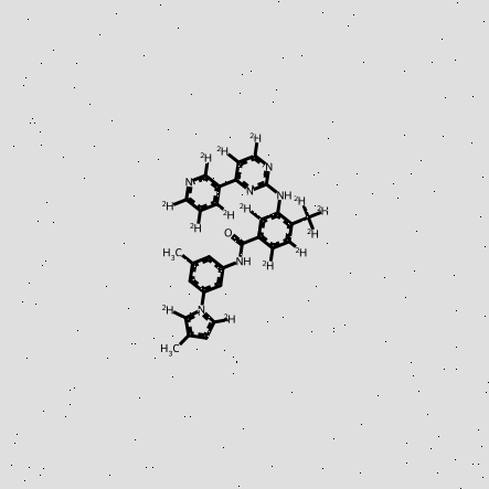 [2H]c1nc(Nc2c([2H])c(C(=O)Nc3cc(C)cc(-n4c([2H])cc(C)c4[2H])c3)c([2H])c([2H])c2C([2H])([2H])[2H])nc(-c2c([2H])nc([2H])c([2H])c2[2H])c1[2H]